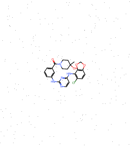 CC1(O)CCN(C(=O)c2cccc(Nc3nccc(Nc4c(Cl)ccc5c4OCO5)n3)c2)CC1